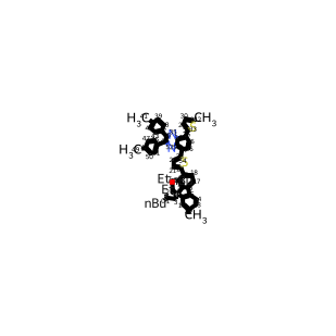 CCCCC(CC)C[Si]1(CC(CC)CCCC)c2cc(C)ccc2-c2ccc(-c3ccc(-c4ccc(-c5ccc(C)s5)c5nc(-c6ccc(C)cc6)c(-c6ccc(C)cc6)nc45)s3)cc21